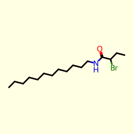 CCCCCCCCCCCCNC(=O)C(Br)CC